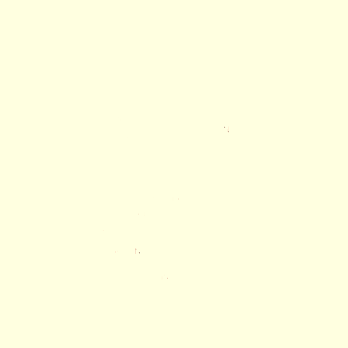 CN1CCC(=C2c3ccccc3Sc3ccc(C(=O)OCN4C(=O)CCC4=O)cc32)CC1